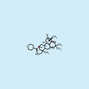 C=C1[C@H]2CC[C@@]34[C@H](C2)[C@]2(COC(=O)N5CCOCC5)CCC[C@@](C)(CO)C2C[C@H]3OC(C)(C)O[C@@H]14